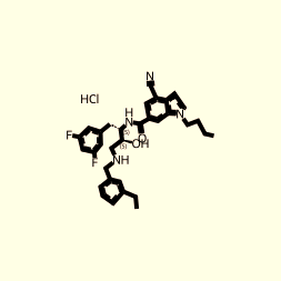 CCCCn1ccc2c(C#N)cc(C(=O)N[C@@H](Cc3cc(F)cc(F)c3)[C@@H](O)CNCc3cccc(CC)c3)cc21.Cl